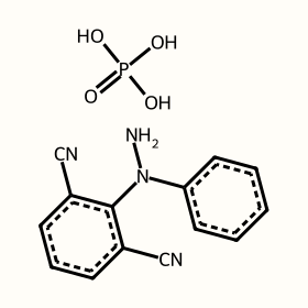 N#Cc1cccc(C#N)c1N(N)c1ccccc1.O=P(O)(O)O